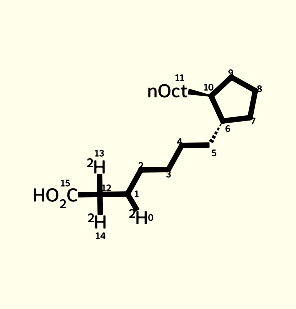 [2H]C(CCCC[C@H]1CCC[C@@H]1CCCCCCCC)C([2H])([2H])C(=O)O